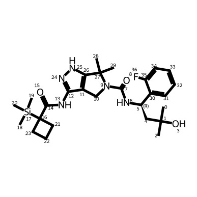 CC(C)(O)C[C@@H](NC(=O)N1Cc2c(NC(=O)C3([Si](C)(C)C)CCC3)n[nH]c2C1(C)C)c1ccccc1F